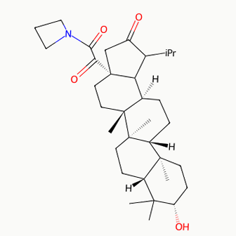 CC(C)C1C(=O)C[C@]2(C(=O)C(=O)N3CCC3)CC[C@]3(C)[C@H](CC[C@@H]4[C@@]5(C)CC[C@H](O)C(C)(C)[C@@H]5CC[C@]43C)C12